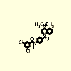 CN(C)C1CCN(C(=O)c2ccc(NC(=O)c3cc(Cl)cc(Cl)c3)cc2)c2ccccc21